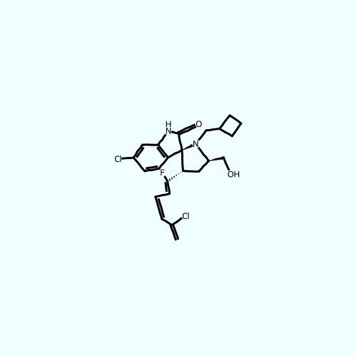 C=C(Cl)/C=C\C=C(/F)[C@H]1C[C@H](CO)N(CC2CCC2)[C@@]12C(=O)Nc1cc(Cl)ccc12